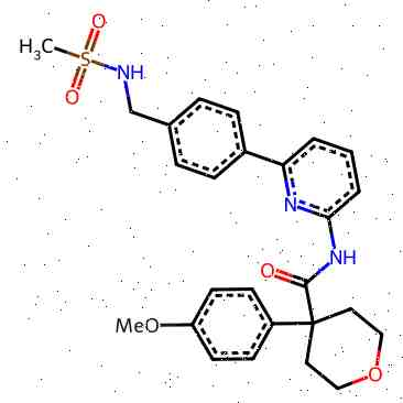 COc1ccc(C2(C(=O)Nc3cccc(-c4ccc(CNS(C)(=O)=O)cc4)n3)CCOCC2)cc1